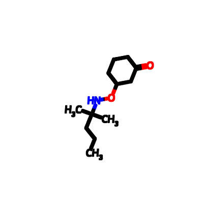 CCCC(C)(C)NOC1CCCC(=O)C1